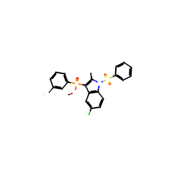 CCOC(=O)c1c(P(=O)(OCC)c2cccc(C(C)C)c2)c2cc(Cl)ccc2n1S(=O)(=O)c1ccccc1